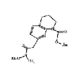 CON(C)C(=O)Cc1ccc2c(n1)N(C(=O)OC(C)(C)C)CCC2